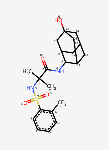 CC(C)(NS(=O)(=O)c1ccccc1C(F)(F)F)C(=O)NC1C2CC3CC1CC(O)(C3)C2